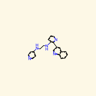 c1cnc(-c2cnc3ccccc3c2)c(NCCNc2ccncc2)c1